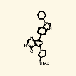 CC(=O)NC1CCN(c2sc(-c3ccc4c(c3)ncn4C3CCCCC3)c3nc[nH]c(=O)c23)C1